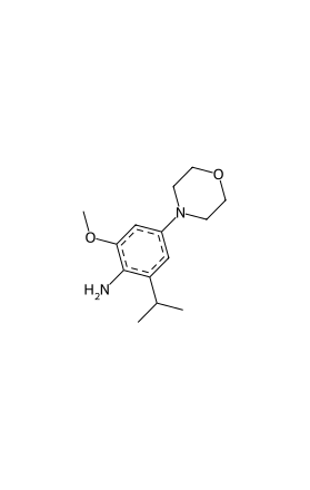 COc1cc(N2CCOCC2)cc(C(C)C)c1N